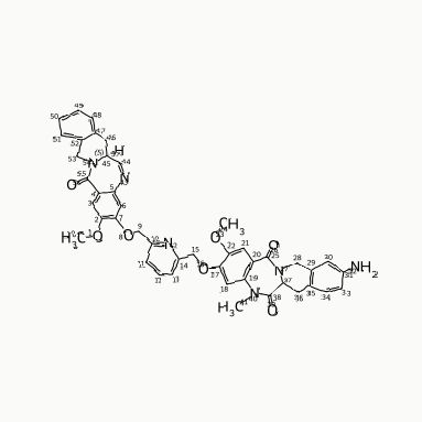 COc1cc2c(cc1OCc1cccc(COc3cc4c(cc3OC)C(=O)N3Cc5cc(N)ccc5CC3C(=O)N4C)n1)N=C[C@@H]1Cc3ccccc3CN1C2=O